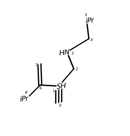 C#[SH](CNCC(C)C)C(=C)C(C)C